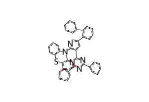 c1ccc(-c2nc(-c3ccccc3)nc(-c3cc(-c4ccccc4-c4ccccc4)cnc3N3c4ccccc4Sc4ccccc43)n2)cc1